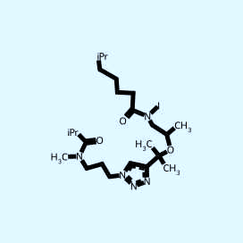 CC(C)CCCCC(=O)N(I)CC(C)OC(C)(C)c1cn(CCCN(C)C(=O)C(C)C)nn1